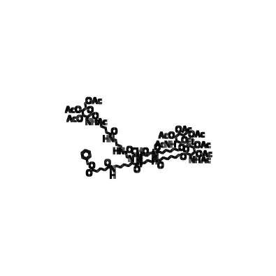 CCC1OC(OCCCCCC(=O)NCCCNC(=O)C(CCCCNC(=O)CCCC(=O)OCc2ccccc2)N(CC(=O)NCCCNC(=O)CCCCCOC2OC(COC(C)=O)C(OC(C)=O)C(OC(C)=O)C2NC(C)=O)C(C=O)NCCCNC(=O)CCCCCOC2OC(COC(C)=O)C(OC(C)=O)C(OC(C)=O)C2NC(C)=O)C(NC(C)=O)C(OC(C)=O)C1OC(C)=O